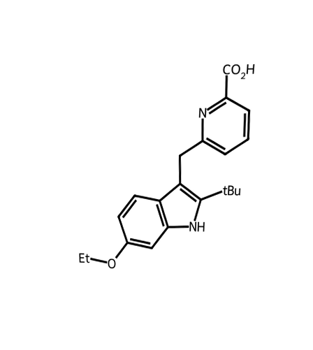 CCOc1ccc2c(Cc3cccc(C(=O)O)n3)c(C(C)(C)C)[nH]c2c1